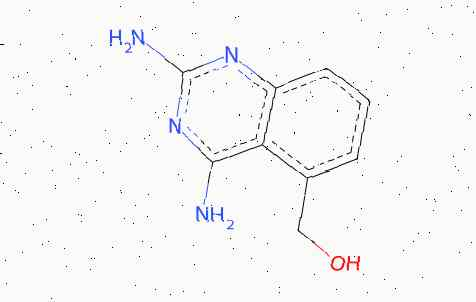 Nc1nc(N)c2c(CO)cccc2n1